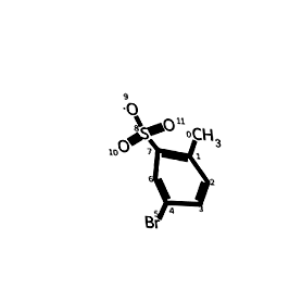 Cc1ccc(Br)cc1S([O])(=O)=O